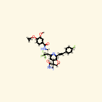 COc1cc(C(=O)NC[C@H](c2cc3c(c(C#Cc4ccc(F)cc4)n2)OC[C@]3(C)C(N)=O)C(F)(F)F)ccc1OC1CC1